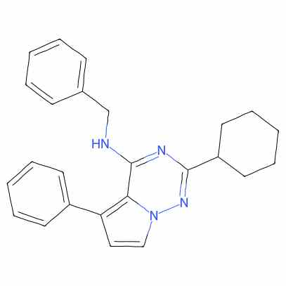 c1ccc(CNc2nc(C3CCCCC3)nn3ccc(-c4ccccc4)c23)cc1